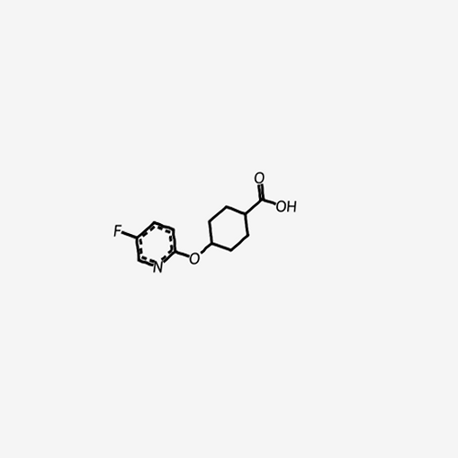 O=C(O)C1CCC(Oc2ccc(F)cn2)CC1